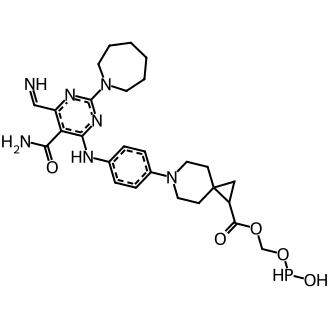 N=Cc1nc(N2CCCCCC2)nc(Nc2ccc(N3CCC4(CC3)CC4C(=O)OCOPO)cc2)c1C(N)=O